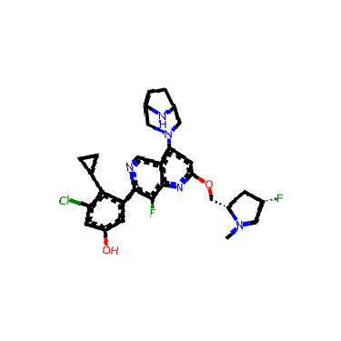 CN1C[C@@H](F)C[C@H]1COc1cc(N2CC3CCC(C2)N3)c2cnc(-c3cc(O)cc(Cl)c3C3CC3)c(F)c2n1